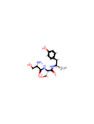 N[C@@H](CO)C(=O)N[C@@H](CO)C(=O)N[C@@H](Cc1ccc(O)cc1)C(=O)O